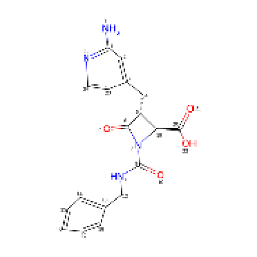 Nc1cc(C[C@H]2C(=O)N(C(=O)NCc3ccccc3)[C@@H]2C(=O)O)ccn1